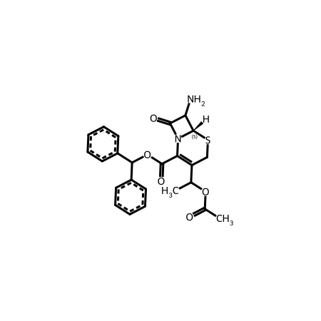 CC(=O)OC(C)C1=C(C(=O)OC(c2ccccc2)c2ccccc2)N2C(=O)C(N)[C@@H]2SC1